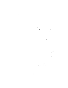 Cc1cc(N[C@@H]2CCCN(CC(=O)N3CCC4(CC3)CC(O)C4)C2)nnc1-c1ccc(C(F)(F)F)cc1O